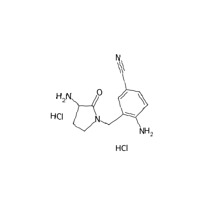 Cl.Cl.N#Cc1ccc(N)c(CN2CCC(N)C2=O)c1